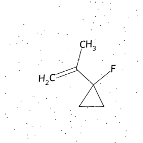 C=C(C)C1(F)CC1